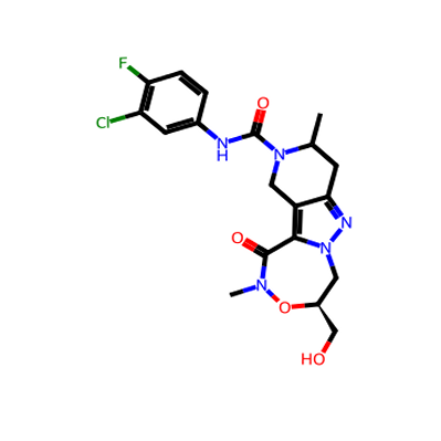 CC1Cc2nn3c(c2CN1C(=O)Nc1ccc(F)c(Cl)c1)C(=O)N(C)O[C@H](CO)C3